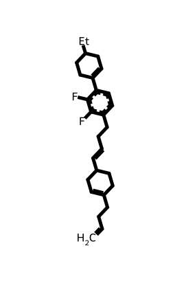 C=CCCC1=CCC(/C=C/CCc2ccc(C3=CCC(CC)CC3)c(F)c2F)CC1